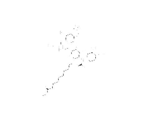 COC(=O)CCCCCCCCO[C@@H]1O[C@H](CO)[C@@H](O[C@@H]2O[C@H](CO)[C@H](O)[C@H](OS(=O)(=O)[O-])[C@H]2O)[C@H](O[C@@H]2O[C@@H](C)C[C@@H](O)[C@@H]2O)[C@H]1NC(C)=O.[Na+]